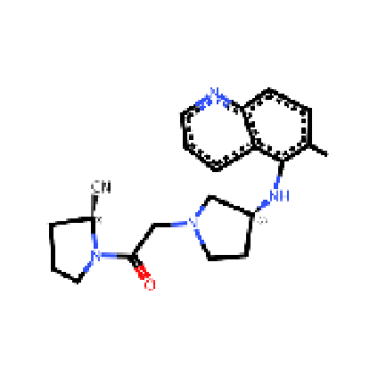 Cc1ccc2ncccc2c1N[C@H]1CCN(CC(=O)N2CCC[C@H]2C#N)C1